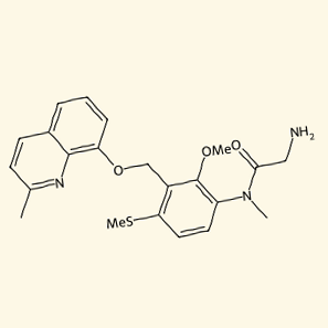 COc1c(N(C)C(=O)CN)ccc(SC)c1COc1cccc2ccc(C)nc12